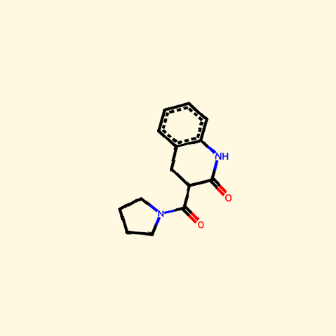 O=C1Nc2ccccc2CC1C(=O)N1CCCC1